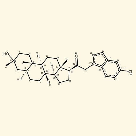 C[C@@]1(O)CC[C@@]2(C)[C@@H](CC[C@@H]3[C@@H]2CC[C@]2(C)[C@@H](C(=O)Cn4ncc5cc(Cl)ccc54)CC[C@@H]32)C1